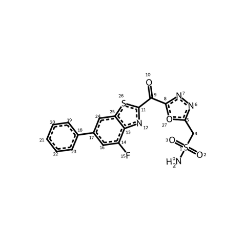 NS(=O)(=O)Cc1nnc(C(=O)c2nc3c(F)cc(-c4ccccc4)cc3s2)o1